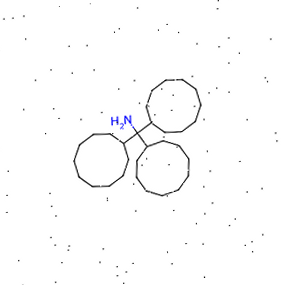 NC(C1CCCCCCCCC1)(C1CCCCCCCCC1)C1CCCCCCCCC1